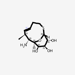 C[C@H]1/C=C/CCS[C@H]2O[C@H]([C@@H]1N)[C@H](O)[C@H](O)[C@H]2O